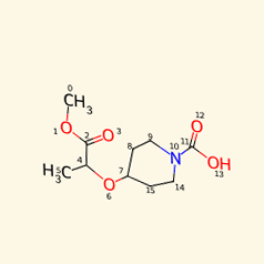 COC(=O)C(C)OC1CCN(C(=O)O)CC1